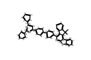 CC1(C)c2ccccc2-c2c(-c3ccc(-c4ccc(-c5cc(-c6ccccc6)nc(-c6ccccc6)n5)cc4)cc3)nc3sc4ccccc4c3c21